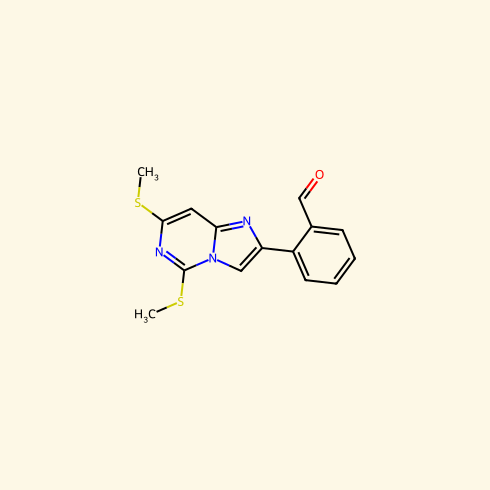 CSc1cc2nc(-c3ccccc3C=O)cn2c(SC)n1